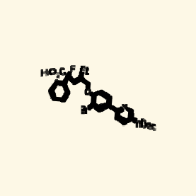 CCCCCCCCCCc1ccc(-c2ccc(OCC(CC)C[C@@](F)(C(=O)O)C3CCCCC3)c(Br)c2)nc1